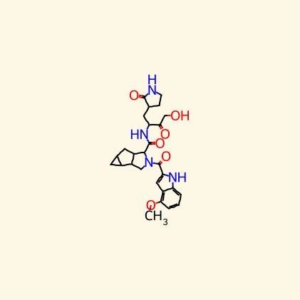 COc1cccc2[nH]c(C(=O)N3CC4C5CC5CC4C3C(=O)NC(CC3CCNC3=O)C(=O)CO)cc12